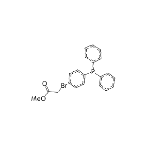 COC(=O)CBr.c1ccc(P(c2ccccc2)c2ccccc2)cc1